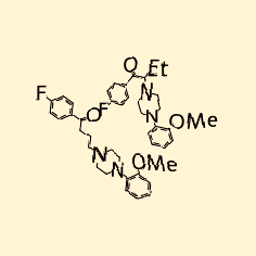 CCC(C(=O)c1ccc(F)cc1)N1CCN(c2ccccc2OC)CC1.COc1ccccc1N1CCN(CCCC(=O)c2ccc(F)cc2)CC1